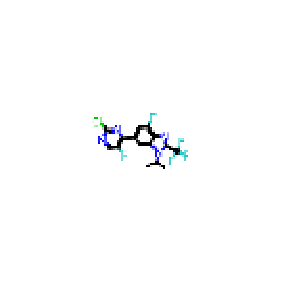 CC(C)n1c(C(F)(F)F)nc2c(F)cc(-c3nc(Cl)ncc3F)cc21